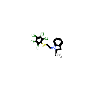 CC1Cc2ccccc2N1CCSc1c(Cl)c(Cl)c(Cl)c(Cl)c1Cl